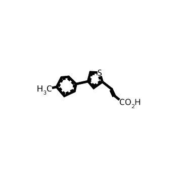 Cc1ccc(-c2csc(C=CC(=O)O)c2)cc1